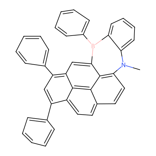 CN1c2ccccc2B(c2ccccc2)c2cc3c(-c4ccccc4)cc(-c4ccccc4)c4ccc5ccc1c2c5c43